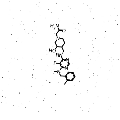 Cc1ccccc1CN(C)c1ncnc(NCC2CCN(CC(N)=O)CC2O)c1F